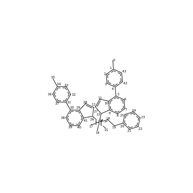 Cc1ccc(-c2cccc3c2C=C[CH]3[Hf]([CH3])([CH3])([CH3])(=[CH]Cc2ccccc2)[CH]2C=Cc3c(-c4ccc(C)cc4)cccc32)cc1